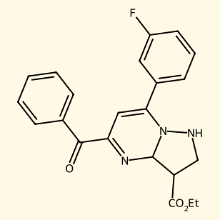 CCOC(=O)C1CNN2C(c3cccc(F)c3)=CC(C(=O)c3ccccc3)=NC12